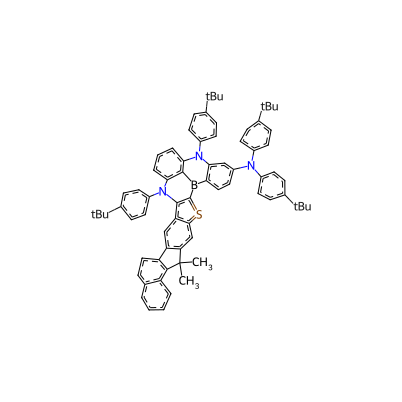 CC(C)(C)c1ccc(N(c2ccc(C(C)(C)C)cc2)c2ccc3c(c2)N(c2ccc(C(C)(C)C)cc2)c2cccc4c2B3c2sc3cc5c(cc3c2N4c2ccc(C(C)(C)C)cc2)-c2ccc3ccccc3c2C5(C)C)cc1